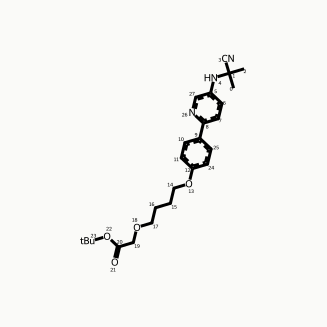 CC(C)(C#N)Nc1ccc(-c2ccc(OCCCCOCC(=O)OC(C)(C)C)cc2)nc1